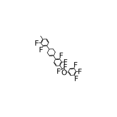 Cc1ccc(C2CC=C(c3ccc(C(F)(F)Oc4cc(F)c(F)c(F)c4)c(F)c3F)CC2)c(F)c1F